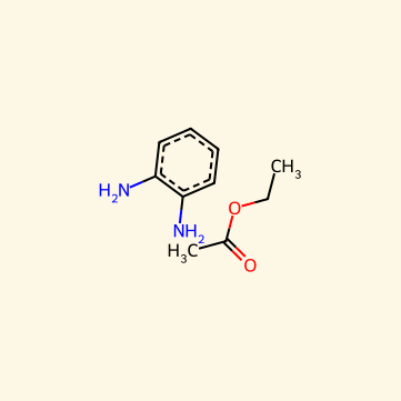 CCOC(C)=O.Nc1ccccc1N